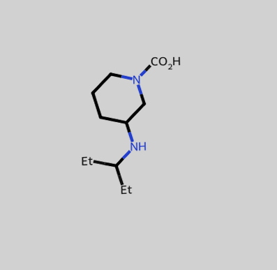 CCC(CC)NC1CCCN(C(=O)O)C1